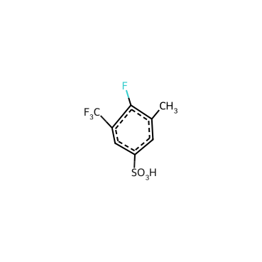 Cc1cc(S(=O)(=O)O)cc(C(F)(F)F)c1F